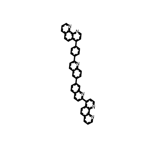 c1cnc2c(c1)ccc1c(-c3ccc(-c4ccc5cc(-c6ccc7ccc(-c8ccnc9c8ccc8cccnc89)nc7c6)ccc5n4)cc3)ccnc12